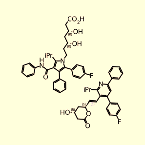 CC(C)c1c(C(=O)Nc2ccccc2)c(-c2ccccc2)c(-c2ccc(F)cc2)n1CC[C@@H](O)C[C@@H](O)CC(=O)O.CC(C)c1nc(-c2ccccc2)cc(-c2ccc(F)cc2)c1/C=C/[C@@H]1C[C@@H](O)CC(=O)O1